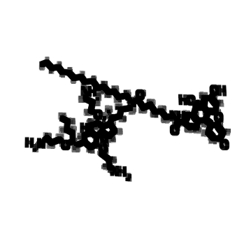 CCCCCCCCCCCCCCCCN(CCC[C@@H](C)C1CC[C@H]2C3[C@@H](CC(C[C@@H](CCCC)OCCCN)C[C@H]3OCCCN)C[C@H](OCCCN)[C@@]12C)C(=O)CCCCCNC(=O)c1ccc(-c2c3ccc(=O)cc-3oc3cc(O)ccc23)c(C(=O)O)c1